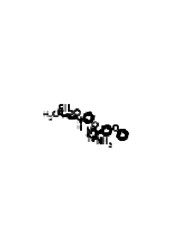 CN(C)CC=CC(=O)Nc1cccc(Oc2ncnc(N)c2-c2ccc(Oc3ccccc3)cc2)c1